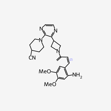 C=C(/C=C\c1cc(OC)c(OC)cc1N)N1CC(c2nccnc2N2CCC(C#N)CC2)C1